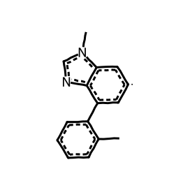 Cc1ccccc1-c1c[c]cc2c1ncn2C